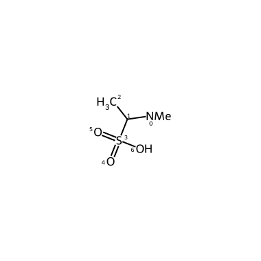 CNC(C)S(=O)(=O)O